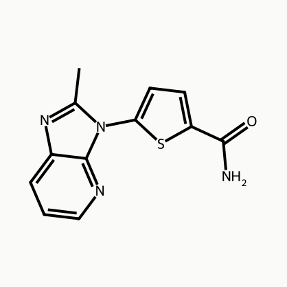 Cc1nc2cccnc2n1-c1ccc(C(N)=O)s1